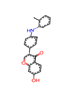 Cc1ccccc1Nc1ccc(-c2coc3cc(O)ccc3c2=O)cc1